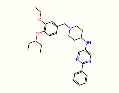 CCOc1cc(CN2CCC(Nc3cnc(-c4ccccc4)nc3)CC2)ccc1OC(CC)CC